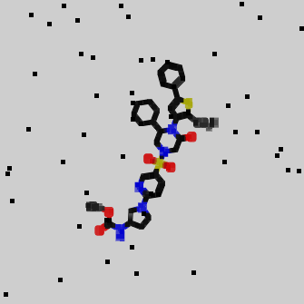 CC(C)(C)OC(=O)NC1CCN(c2ccc(S(=O)(=O)N3CC(=O)N(c4cc(-c5ccccc5)sc4C(=O)O)C(C4CCCCC4)C3)cn2)C1